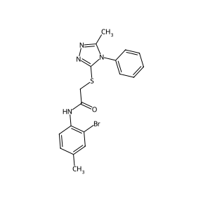 Cc1ccc(NC(=O)CSc2nnc(C)n2-c2ccccc2)c(Br)c1